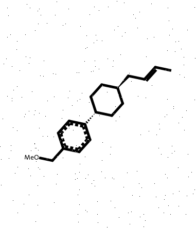 CC=CC[C@H]1CC[C@H](c2ccc(COC)cc2)CC1